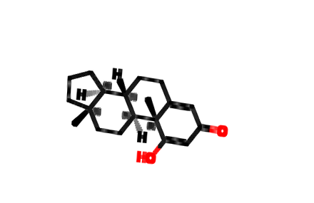 C[C@@]12CCC[C@H]1[C@@H]1CCC3=CC(=O)C=C(O)[C@]3(C)[C@H]1CC2